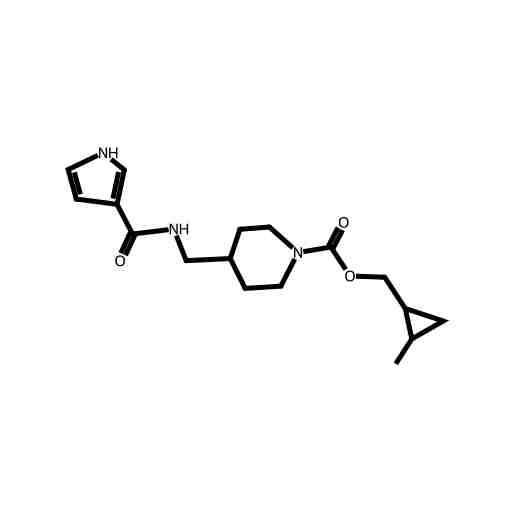 CC1CC1COC(=O)N1CCC(CNC(=O)c2cc[nH]c2)CC1